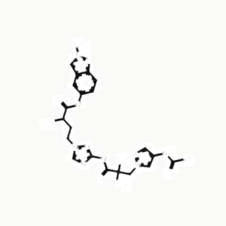 CC(C)C(=O)Nc1cnn(CC(C)(C)C(=O)Nc2ncn(CCC(C)C(=O)Nc3ccc4nn(C)cc4c3)n2)c1